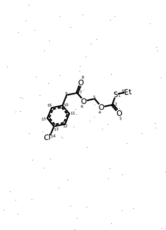 CCSC(=O)OCOC(=O)Cc1ccc(Cl)cc1